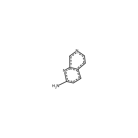 Nc1ccc2ccncc2n1